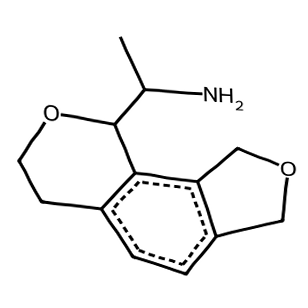 CC(N)C1OCCc2ccc3c(c21)COC3